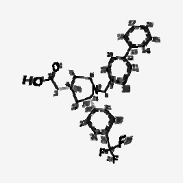 O=C(O)C[C@@H]1CCN(Cc2ccc(-c3ccccc3)cc2)[C@H](c2ccc(C(F)(F)F)cc2)C1